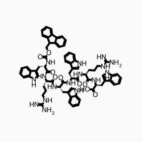 N=C(N)NCCC[C@H](NC(=O)[C@H](Cc1c[nH]c2ccccc12)NC(=O)[C@H](Cc1c[nH]c2ccccc12)NC(=O)[C@H](CCCNC(=N)N)NC(=O)[C@H](Cc1c[nH]c2ccccc12)NC(=O)OCC1c2ccccc2-c2ccccc21)C(=O)N[C@@H](Cc1c[nH]c2ccccc12)C(=O)O